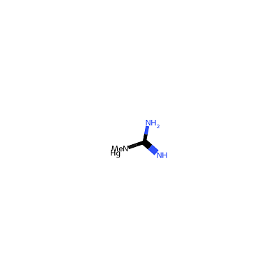 [CH2]NC(=N)N.[Hg]